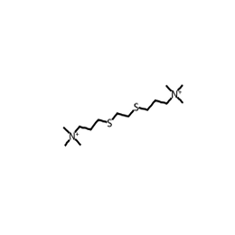 C[N+](C)(C)CCCSCCSCCC[N+](C)(C)C